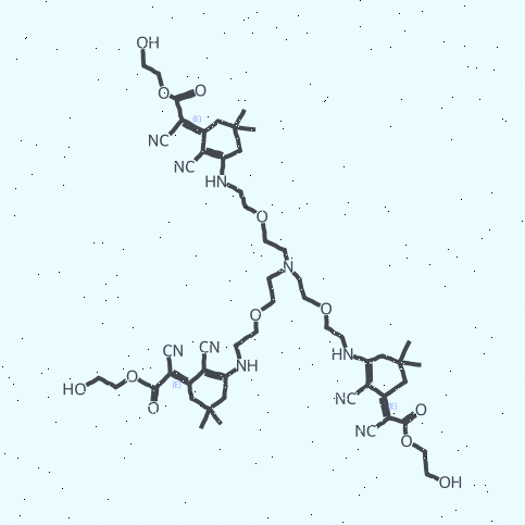 CC1(C)CC(NCCOCCN(CCOCCNC2=C(C#N)/C(=C(\C#N)C(=O)OCCO)CC(C)(C)C2)CCOCCNC2=C(C#N)/C(=C(\C#N)C(=O)OCCO)CC(C)(C)C2)=C(C#N)/C(=C(\C#N)C(=O)OCCO)C1